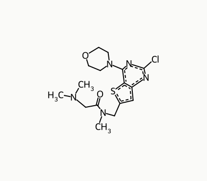 CN(C)CC(=O)N(C)Cc1cc2nc(Cl)nc(N3CCOCC3)c2s1